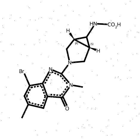 Cc1cc(Br)c2nc(N3C[C@@H]4C(NC(=O)O)[C@@H]4C3)n(C)c(=O)c2c1